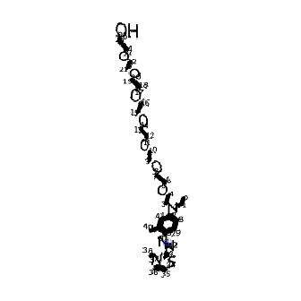 CCN(CCOCCOCCOCCOCCOCCOCCOCCO)c1ccc(/N=N/c2scc[n+]2C)c(C)c1